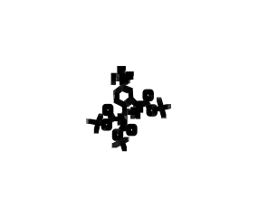 CC(C)(C)OC(=O)N(C(=O)OC(C)(C)C)c1nn(C(=O)OC(C)(C)C)c2cc([B-](F)(F)F)ccc12